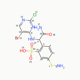 NSc1ccc(C(Nc2nc(Cl)ncc2Br)C(N)=O)c(S(=O)(=O)O)c1